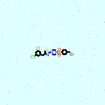 O=S(=O)(c1ccc(CBr)cc1)N1CCN(c2nc(Cc3cc(Cl)cc(Cl)c3)cs2)CC1